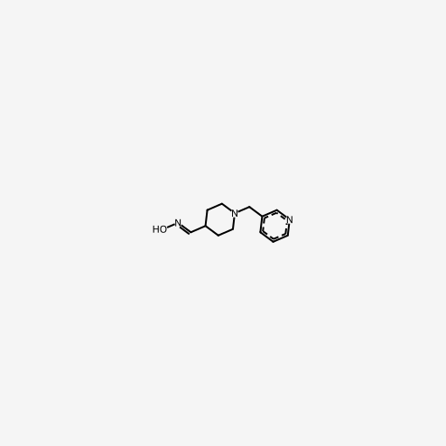 ON=CC1CCN(Cc2cccnc2)CC1